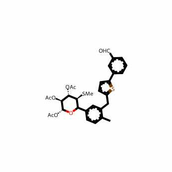 CS[C@H]1C(c2ccc(C)c(Cc3ccc(-c4cccc(C=O)c4)s3)c2)O[C@H](OC(C)=O)[C@@H](OC(C)=O)[C@@H]1OC(C)=O